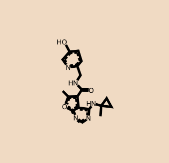 Cc1oc2ncnc(NC3(C)CC3)c2c1C(=O)NCc1ccc(O)cn1